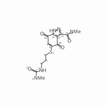 CNC(=O)NCCCSC1=CC(=O)c2[nH]nc(C(=O)NC)c2C1=O